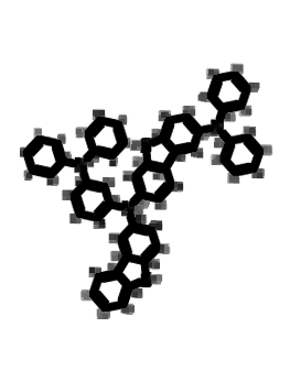 c1ccc(N(c2ccccc2)c2cccc(N(c3ccc4c(c3)sc3ccc(N(c5ccccc5)c5ccccc5)cc34)c3ccc4sc5ccccc5c4c3)c2)cc1